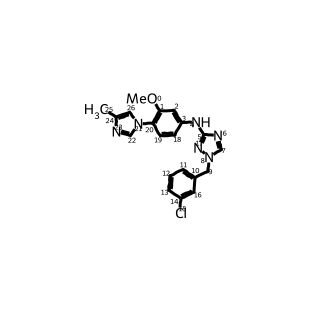 COc1cc(Nc2ncn(Cc3cccc(Cl)c3)n2)ccc1-n1cnc(C)c1